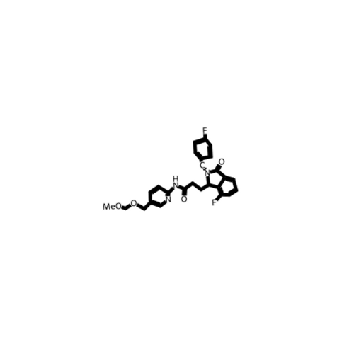 COCOCc1ccc(NC(=O)CCC2c3c(F)cccc3C(=O)N2Cc2ccc(F)cc2)nc1